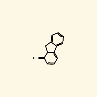 C=C1[C]=CC=C2c3ccccc3CC12